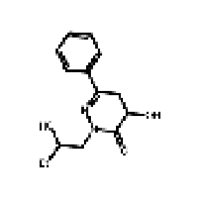 CCC(O)CN1N=C(c2ccccc2)CC(O)C1=O